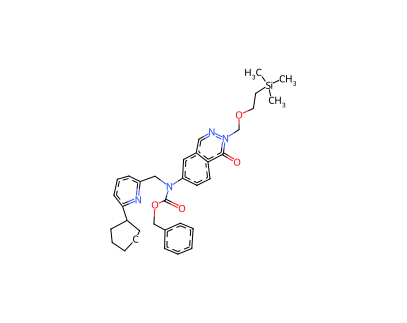 C[Si](C)(C)CCOCn1ncc2cc(N(Cc3cccc(C4CCCCC4)n3)C(=O)OCc3ccccc3)ccc2c1=O